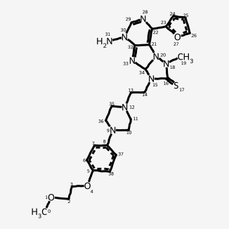 COCCOc1ccc(N2CCN(CCN3C(=S)N(C)N4C5=C(c6ccco6)N=CN(N)C5=NC34)CC2)cc1